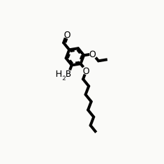 Bc1cc(C=O)cc(OCC)c1OCCCCCCCC